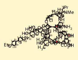 CCOc1ccc(-c2ccc(CNC[C@H]3O[C@@H](O[C@H]4[C@H](O)[C@@H](O)[C@H](Oc5c6cc7cc5Oc5ccc(cc5Cl)[C@@H](OC5C[C@](C)(N)[C@@H](O)[C@H](C)O5)[C@@H]5NC(=O)[C@H](NC(=O)[C@@H]7NC(=O)C(CC(N)=O)NC(=O)C(NC(=O)[C@@H](CC(C)C)NC)[C@H](O)c7ccc(c(Cl)c7)O6)c6ccc(O)c(c6)-c6c(O)cc(O)cc6C(C(=O)O)NC5=O)O[C@@H]4CO)[C@H](O)[C@@H](O)[C@H]3O)s2)cc1